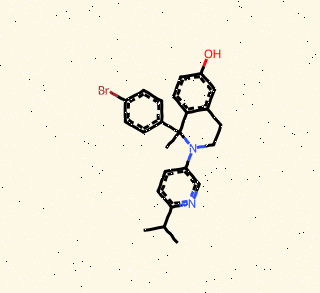 CC(C)c1ccc(N2CCc3cc(O)ccc3C2(C)c2ccc(Br)cc2)cn1